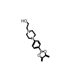 C=C1OB(c2ccc(N3CCN(CCO)CC3)cc2)OC1=C